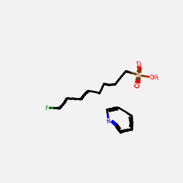 O=S(=O)(O)CCCCCCCCF.c1ccncc1